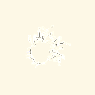 C/C=C1\NC(=O)[C@H]2CSSCC/C=C\[C@H](CC(=O)NCC(O)N2)OC(=O)[C@H](C(C)C)NC1=O